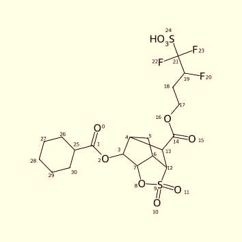 O=C(OC1C2CC3C1OS(=O)(=O)C3C2C(=O)OCCC(F)C(F)(F)S(=O)(=O)O)C1CCCCC1